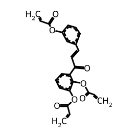 C=CC(=O)Oc1cccc(/C=C/C(=O)c2cccc(OC(=O)C=C)c2OC(=O)C=C)c1